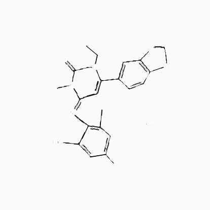 CCn1c(-c2ccc3c(c2)OCO3)cc(=Nc2c(C)cc(C)cc2C)n(C)c1=O.Cl